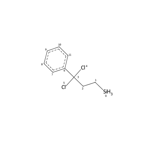 [SiH3]CCC(Cl)(Cl)c1ccccc1